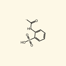 [CH2]C(=O)Nc1ccccc1S(=O)(=O)O